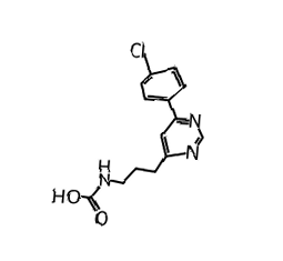 O=C(O)NCCCc1cc(-c2ccc(Cl)cc2)ncn1